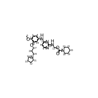 COc1ccc(Nc2ccnc(NCOC(=O)N3CCCCC3)n2)cc1OCCCN1CCCC1